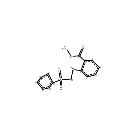 CCCCOC(=O)c1ccccc1OCS(=O)(=O)c1ccccc1